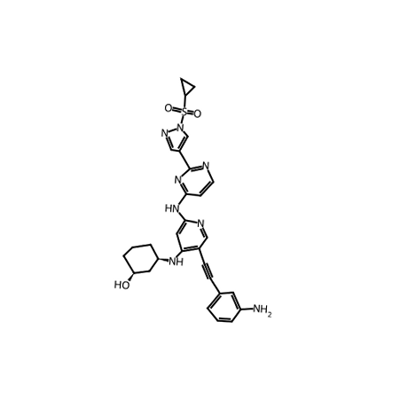 Nc1cccc(C#Cc2cnc(Nc3ccnc(-c4cnn(S(=O)(=O)C5CC5)c4)n3)cc2N[C@@H]2CCC[C@H](O)C2)c1